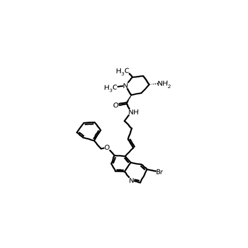 CC1C[C@H](N)C[C@@H](C(=O)NCC/C=C/c2c(OCc3ccccc3)ccc3ncc(Br)cc23)N1C